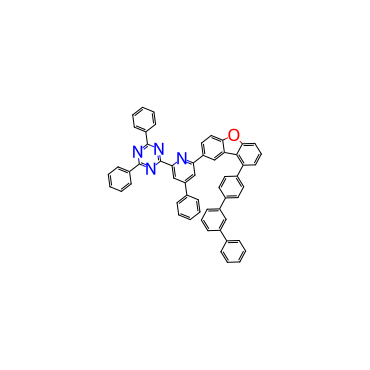 c1ccc(-c2cccc(-c3ccc(-c4cccc5oc6ccc(-c7cc(-c8ccccc8)cc(-c8nc(-c9ccccc9)nc(-c9ccccc9)n8)n7)cc6c45)cc3)c2)cc1